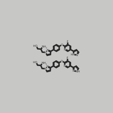 NC(CO)Cn1ccc(-c2ccc(Oc3ncc(-c4cc[nH]n4)cc3F)cc2)n1.NC(CO)Cn1ccc(-c2ccc(Oc3ncc(-c4ccn[nH]4)cc3F)cc2)n1